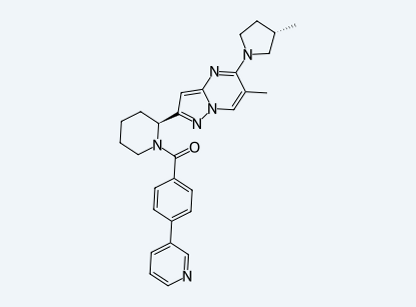 Cc1cn2nc([C@@H]3CCCCN3C(=O)c3ccc(-c4cccnc4)cc3)cc2nc1N1CC[C@H](C)C1